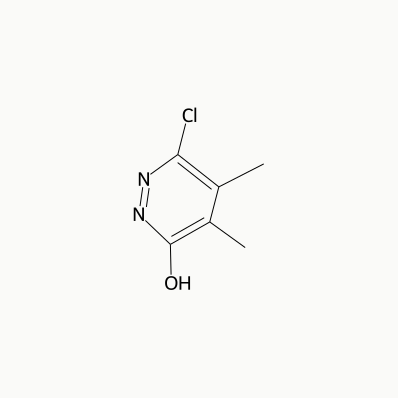 Cc1c(O)nnc(Cl)c1C